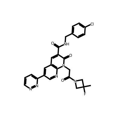 CC1(F)CN(C(=O)Cn2c(=O)c(C(=O)NCc3ccc(Cl)cc3)cc3cc(-c4cccnn4)cnc32)C1